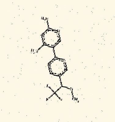 COC(c1ccc(-c2cnc(N)cc2N)nc1)C(F)(F)F